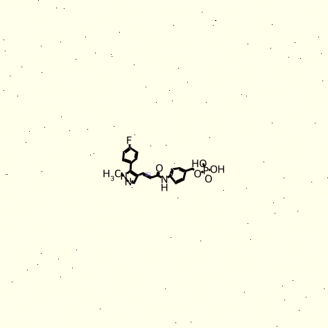 Cn1ncc(/C=C/C(=O)Nc2ccc(COP(=O)(O)O)cc2)c1-c1ccc(F)cc1